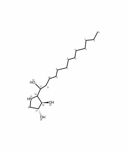 CCCCCCCCCCCCC(O)C1NC[C@@H](O)[C@@H]1O